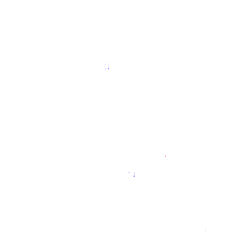 Clc1ccc2nc(-c3ccc4c(c3)c3ccccc3n4-c3ccccc3)oc2c1